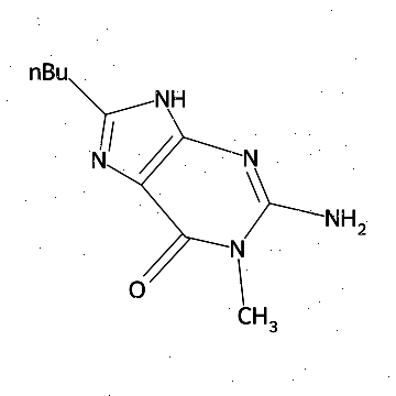 CCCCc1nc2c(=O)n(C)c(N)nc2[nH]1